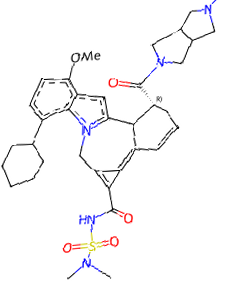 COc1ccc(C2CCCCC2)c2c1cc1n2CC2=C(C(=O)NS(=O)(=O)N(C)C)C2=C2C=CC[C@@H](C(=O)N3CC4CN(C)CC4C3)C21